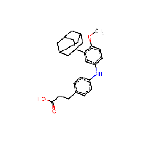 COc1ccc(Nc2ccc(CCC(=O)O)cc2)cc1C12CC3CC(CC(C3)C1)C2